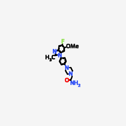 COc1cc2c(cc1F)nc(C)n2-c1ccc(N2CCN(CC(N)=O)CC2)cc1